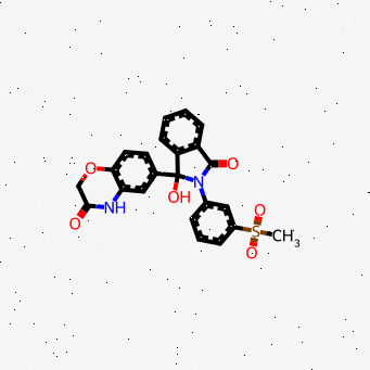 CS(=O)(=O)c1cccc(N2C(=O)c3ccccc3C2(O)c2ccc3c(c2)NC(=O)CO3)c1